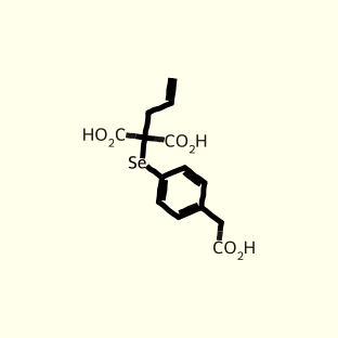 C=CCC([Se]c1ccc(CC(=O)O)cc1)(C(=O)O)C(=O)O